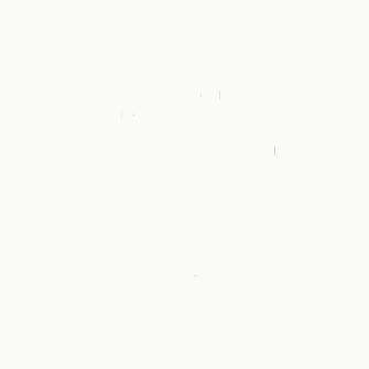 OC1[C@H](O)OC(CBr)[C@H](O)[C@@H]1O